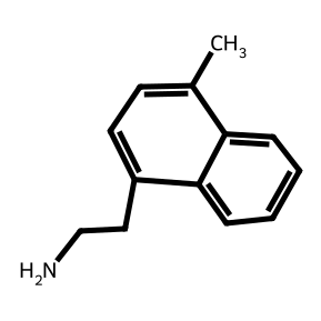 Cc1ccc(CCN)c2ccccc12